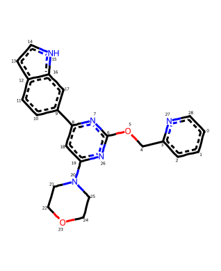 c1ccc(COc2nc(-c3ccc4cc[nH]c4c3)cc(N3CCOCC3)n2)nc1